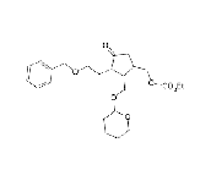 CCOC(=O)OCC1CC(=O)C(CCOCc2ccccc2)C1COC1CCCCO1